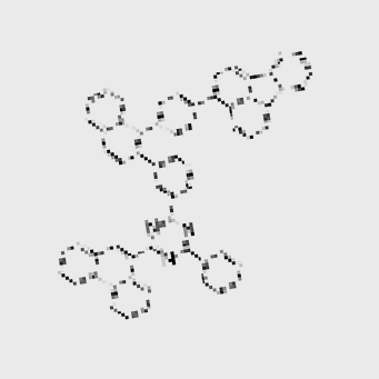 c1ccc(-c2nc(-c3cccc(-c4ccc5ccccc5c4-c4ccc(-c5ccc6c7c(cccc57)-c5ccccc5-6)cc4)c3)nc(-c3cc4ccccc4c4ccccc34)n2)cc1